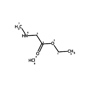 CCOC(=O)CNC.Cl